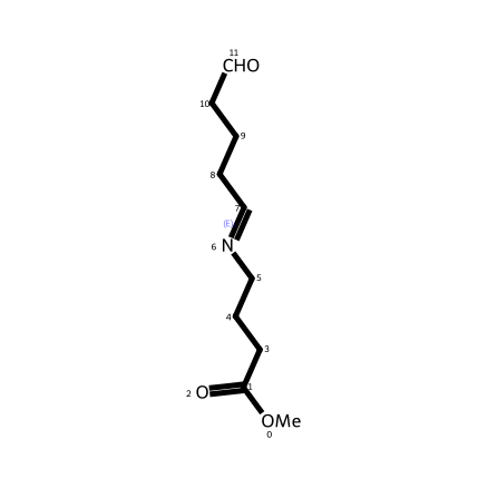 COC(=O)CCC/N=C/CCCC=O